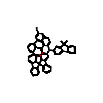 CC1(C)c2ccccc2-c2ccc(N(c3ccc4c(c3)-c3ccccc3C43c4ccccc4-c4ccccc43)c3ccccc3-c3cccc4cccc(-c5cccc(F)c5)c34)cc21